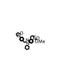 COC(=O)N1c2ccc3c(nc(Cc4ccc(N5CCCC5=O)cc4)n3C3CCCCC3)c2CC[C@@H]1C